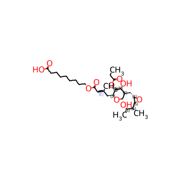 CCC(=O)O[C@@H]1[C@H](O)[C@@H](C[C@@H]2O[C@H]2[C@@H](C)[C@H](C)O)CO[C@H]1C/C(C)=C/C(=O)OCCCCCCCCC(=O)O